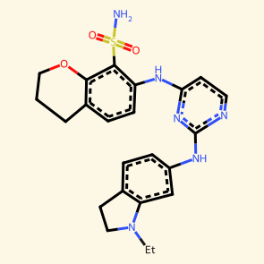 CCN1CCc2ccc(Nc3nccc(Nc4ccc5c(c4S(N)(=O)=O)OCCC5)n3)cc21